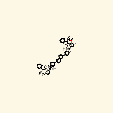 CCN(CC)[C@@H](C(=O)N1[C@H](C)[C@H](C)C[C@H]1c1nc2ccc(-c3ccc4cc(-c5ccc6nc([C@@H]7C[C@@H](C)[C@@H](C)N7C(=O)[C@@H](c7ccccc7)N(CC)CC)[nH]c6c5)ccc4c3)cc2[nH]1)c1ccccc1